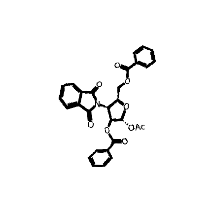 CC(=O)O[C@H]1O[C@H](COC(=O)c2ccccc2)[C@H](N2C(=O)c3ccccc3C2=O)C1OC(=O)c1ccccc1